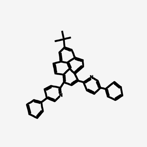 CC(C)(C)c1cc2ccc3c(-c4ccc(-c5ccccc5)cn4)cc(-c4ccc(-c5ccccc5)cn4)c4ccc(c1)c2c34